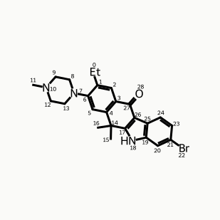 CCc1cc2c(cc1N1CCN(C)CC1)C(C)(C)c1[nH]c3cc(Br)ccc3c1C2=O